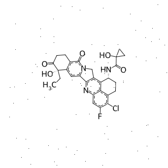 CC[C@@]1(O)C(=O)CCc2c1cc1n(c2=O)Cc2c-1nc1cc(F)c(Cl)c3c1c2[C@H](NC(=O)C1(O)CC1)CC3